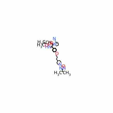 CC(C)c1noc(N2CCC(CCCOc3ccc([C@@H](NC(=O)OC(C)(C)C)C(=O)N4CCC[C@H]4C#N)cc3)CC2)n1